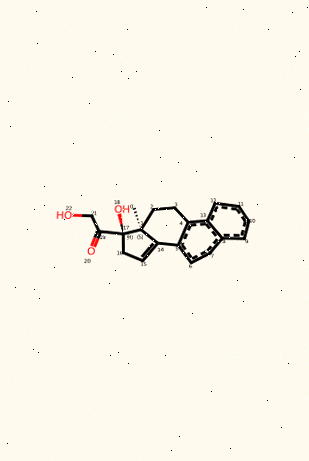 C[C@]12CCc3c(ccc4ccccc34)C1=CC[C@]2(O)C(=O)CO